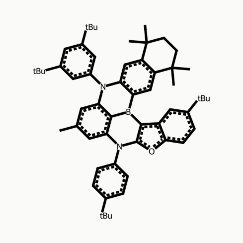 Cc1cc2c3c(c1)N(c1ccc(C(C)(C)C)cc1)c1oc4ccc(C(C)(C)C)cc4c1B3c1cc3c(cc1N2c1cc(C(C)(C)C)cc(C(C)(C)C)c1)C(C)(C)CCC3(C)C